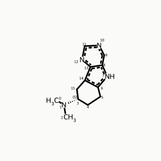 CN(C)[C@H]1CCc2[nH]c3cncnc3c2C1